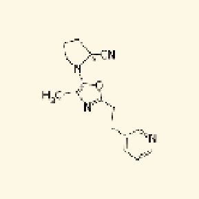 Cc1nc(CCc2cccnc2)oc1N1CCC[C@H]1C#N